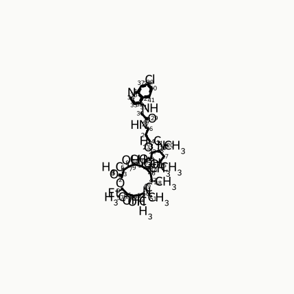 CC[C@H]1OC(=O)[C@H](C)[C@@H](O)[C@H](C)[C@@H](O[C@@H]2OC(C)C[C@H](N(C)C)[C@H]2OCCCNC(=O)CNc2ccnc3cc(Cl)ccc23)[C@](C)(O)C[C@@H](C)CN(C)[C@H](C)[C@@H](O)[C@]1(C)O